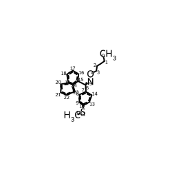 CCCCO/N=C(/c1ccc(SC)cc1)c1cccc2ccccc12